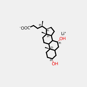 C[C@H](CCC(=O)[O-])[C@H]1CCC2C3C(CC[C@@]21C)[C@@]1(C)CC[C@@H](O)CC1C[C@H]3O.[Li+]